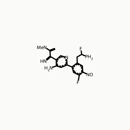 C=C(NC)C(=N)c1cnc(-c2cc(F)c(N=O)cc2CC(F)P)cc1N